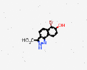 O=C(O)c1[nH]nc2c1ccc1c(Br)c(O)ccc12